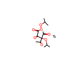 CC(=O)C(OC(C)C)(C(C)=O)C(=O)C(=O)OOC(C)C.[Ti]